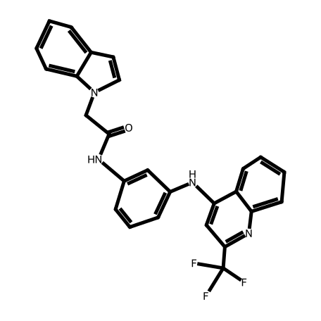 O=C(Cn1ccc2ccccc21)Nc1cccc(Nc2cc(C(F)(F)F)nc3ccccc23)c1